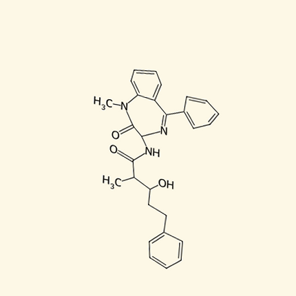 CC(C(=O)NC1N=C(c2ccccc2)c2ccccc2N(C)C1=O)C(O)CCc1ccccc1